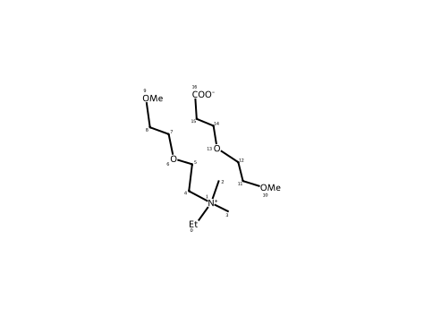 CC[N+](C)(C)CCOCCOC.COCCOCCC(=O)[O-]